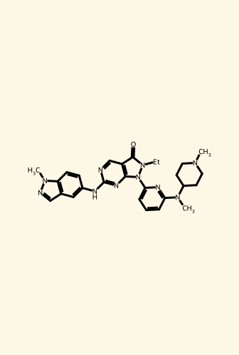 CCn1c(=O)c2cnc(Nc3ccc4c(cnn4C)c3)nc2n1-c1cccc(N(C)C2CCN(C)CC2)n1